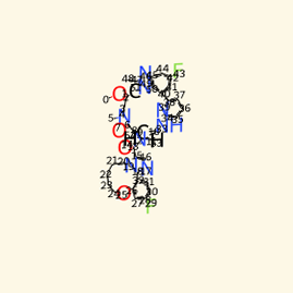 CO[C@H]1CN(C)C(=O)[C@@H]2C[C@@H](CN2C(=O)c2cnc3n2CCCCCOc2cc(F)ccc2-3)Nc2cccc(n2)-c2cc(F)cc3nc(C)n(c23)C1